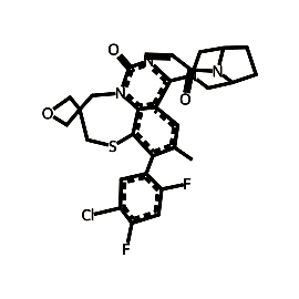 C=CC(=O)N1C2CCC1CN(c1nc(=O)n3c4c(c(-c5cc(Cl)c(F)cc5F)c(C)cc14)SCC1(COC1)C3)C2